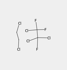 ClCCCl.FC(F)(Cl)C(F)(Cl)Cl